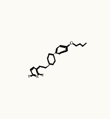 CCCCOc1ccc([C@H]2CC[C@H](CCc3ccc(F)nc3F)CC2)cc1